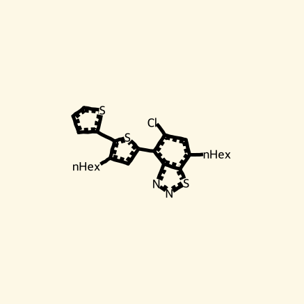 CCCCCCc1cc(-c2c(Cl)cc(CCCCCC)c3snnc23)sc1-c1cccs1